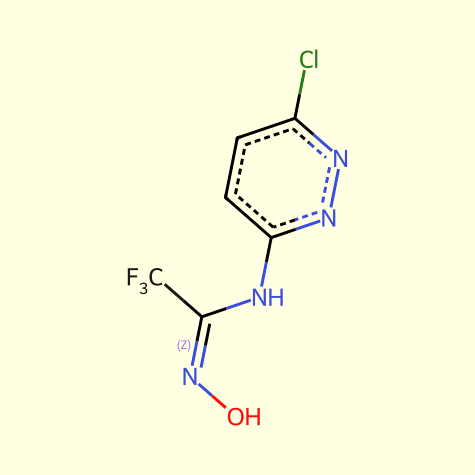 O/N=C(\Nc1ccc(Cl)nn1)C(F)(F)F